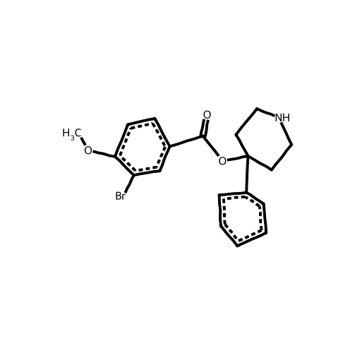 COc1ccc(C(=O)OC2(c3ccccc3)CCNCC2)cc1Br